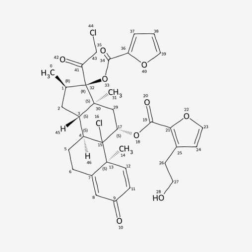 C[C@@H]1C[C@H]2[C@@H]3CCC4=CC(=O)C=C[C@]4(C)C3(Cl)[C@@H](OC(=O)c3occc3CCO)C[C@]2(C)[C@@]1(OC(=O)c1ccco1)C(=O)CCl